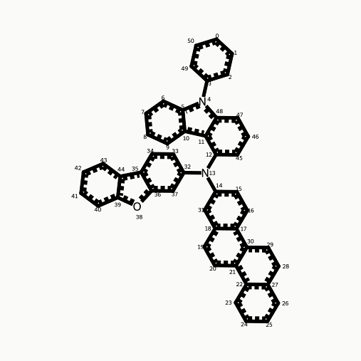 c1ccc(-n2c3ccccc3c3c(N(c4ccc5c(ccc6c7ccccc7ccc56)c4)c4ccc5c(c4)oc4ccccc45)cccc32)cc1